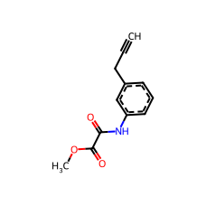 C#CCc1cccc(NC(=O)C(=O)OC)c1